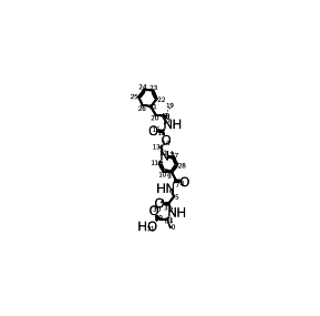 C[C@H](NC(=O)CNC(=O)c1cc[n+](COC(=O)N[C@@H](C)CC2C=CC=CC2)cc1)C(=O)O